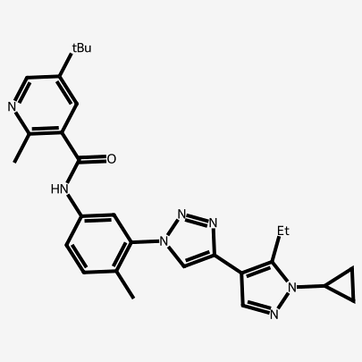 CCc1c(-c2cn(-c3cc(NC(=O)c4cc(C(C)(C)C)cnc4C)ccc3C)nn2)cnn1C1CC1